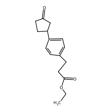 CCOC(=O)CCc1ccc(C2CCC(=O)C2)cc1